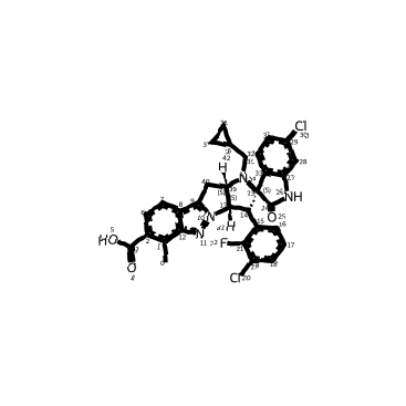 Cc1c(C(=O)O)ccc2c3n(nc12)[C@H]1C(c2cccc(Cl)c2F)[C@]2(C(=O)Nc4cc(Cl)ccc42)N(CC2CC2)[C@H]1C3